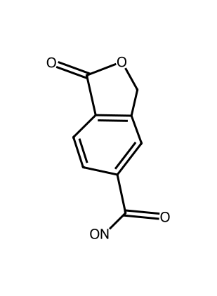 O=NC(=O)c1ccc2c(c1)COC2=O